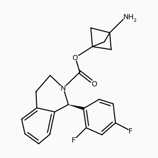 NC12CC(OC(=O)N3CCc4ccccc4[C@@H]3c3ccc(F)cc3F)(C1)C2